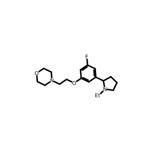 CCN1CCCC1c1cc(F)cc(OCCN2CCOCC2)c1